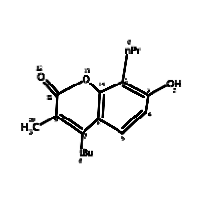 CCCc1c(O)ccc2c(C(C)(C)C)c(C)c(=O)oc12